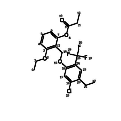 CCOc1cccc(OC(=O)CC)c1COc1cc(Cl)c(CC)cc1C(F)(F)F